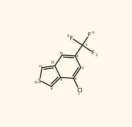 FC(F)(F)c1cc(Cl)c2[c]scc2c1